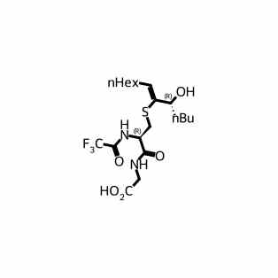 CCCCCCC=C(SC[C@H](NC(=O)C(F)(F)F)C(=O)NCC(=O)O)[C@H](O)CCCC